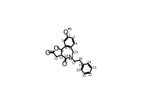 COc1ccc2c(c1)C1OC(=O)CC1C(=O)N(CCc1ccccc1)C2